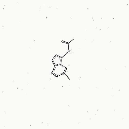 CC(=O)Nn1ccc2ncc(C)cc21